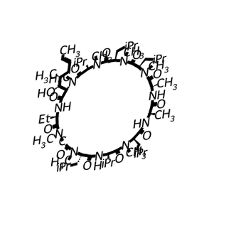 C/C=C/C[C@@H](C)[C@@H](O)[C@@H]1C(=O)N[C@H](CC)C(=O)N(C)CC(=O)N(C)[C@@H](CC(C)C)C(=O)N[C@H](C(C)C)C(=O)N(C)[C@H](CC(C)C)C(=O)N[C@H](C)C(=O)N[C@@H](C)C(=O)N(C)[C@H](CC(C)C)C(=O)N(C)[C@H](CC(C)C)C(=O)N(C)[C@H](C(C)C)C(=O)N1C